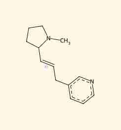 CN1CCCC1/C=C/Cc1cccnc1